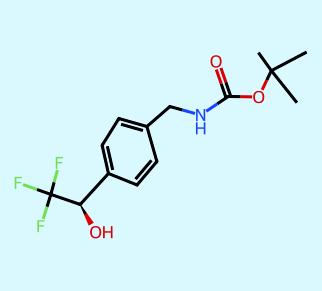 CC(C)(C)OC(=O)NCc1ccc([C@@H](O)C(F)(F)F)cc1